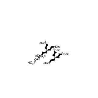 CCCCCCCCCCCCN(CCCCCCCCCCCC)CCCCCCCCCCCC.CCCCCCCCCCCCN(CCCCCCCCCCCC)CCCCCCCCCCCC.O=S(=O)(O)OOS(=O)(=O)O